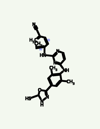 C=C(C#N)/C=C\C(=C/C)Nc1nccc(Nc2c(C)cc(C3=NNC(S)O3)cc2C)n1